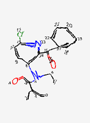 C=C(C)C(=O)N(CC)c1ccc(Cl)nc1C(=O)c1ccccc1